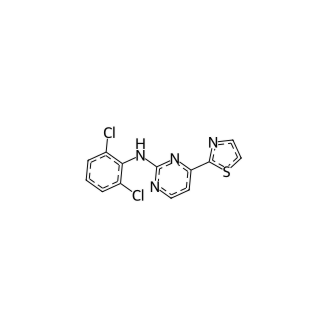 Clc1cccc(Cl)c1Nc1nccc(-c2nccs2)n1